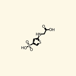 O=C(O)CNc1cc(S(=O)(=O)O)cs1